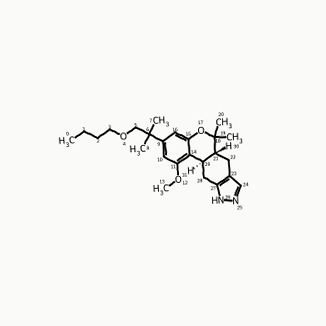 CCCCOCC(C)(C)c1cc(OC)c2c(c1)OC(C)(C)[C@@H]1Cc3cn[nH]c3C[C@@H]21